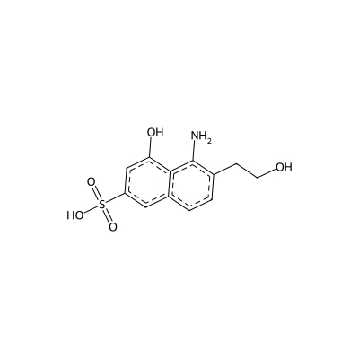 Nc1c(CCO)ccc2cc(S(=O)(=O)O)cc(O)c12